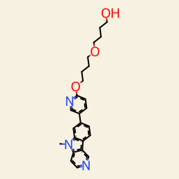 Cn1c2ccncc2c2ccc(-c3ccc(OCCCCOCCCCO)nc3)cc21